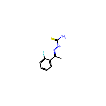 [CH2]C(=NNC(N)=S)c1ccccc1F